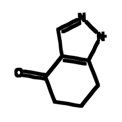 O=C1CCCC2=C1C=N[N]2